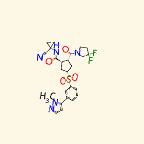 Cn1nccc1-c1cccc(S(=O)(=O)[C@@H]2C[C@@H](C(=O)NC3(C#N)CC3)[C@H](C(=O)N3CCC(F)(F)C3)C2)c1